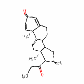 CC(=O)OCC(=O)C1[C@H](C)CC2C3CCC4=CC(=O)C=C[C@]4(C)C3=CC[C@@]21C